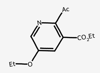 CCOC(=O)c1cc(OCC)cnc1C(C)=O